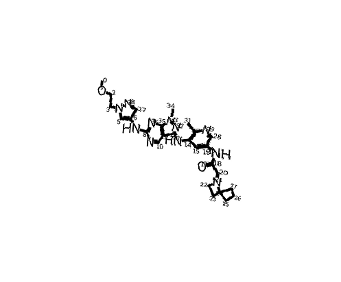 COCCn1cc(Nc2ncc3c(Nc4cc(NC(=O)CN5CCC56CCC6)cnc4C)nn(C)c3n2)cn1